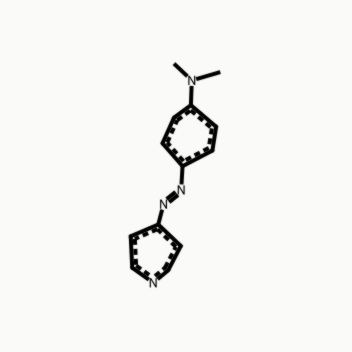 CN(C)c1ccc(N=Nc2ccncc2)cc1